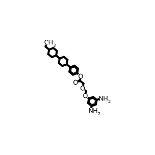 CCC1CCC(C2CCC(c3ccc(OC(=O)COCOc4cc(N)cc(N)c4)cc3)CC2)CC1